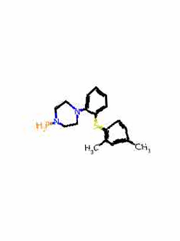 Cc1ccc(Sc2ccccc2N2CCN(P)CC2)c(C)c1